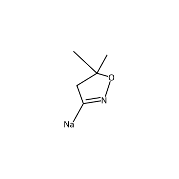 CC1(C)C[C]([Na])=NO1